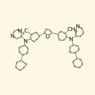 Cc1cc(-c2ccc(-c3ccc(N(c4ccc(-c5ccccc5)cc4)c4cccnc4)c(C)c3)o2)ccc1N(c1ccc(-c2ccccc2)cc1)c1cccnc1